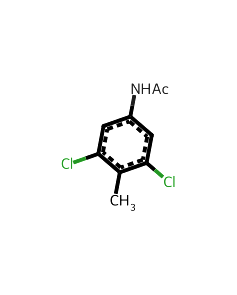 CC(=O)Nc1cc(Cl)c(C)c(Cl)c1